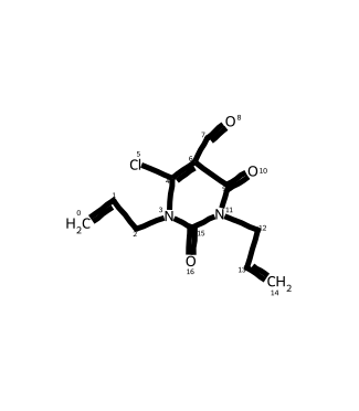 C=CCn1c(Cl)c(C=O)c(=O)n(CC=C)c1=O